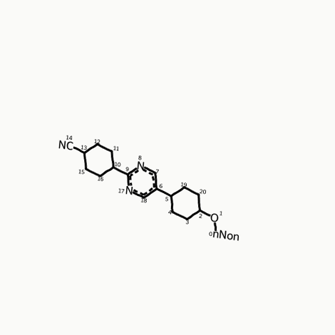 CCCCCCCCCOC1CCC(c2cnc(C3CCC(C#N)CC3)nc2)CC1